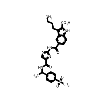 CC(NC(=O)c1csc(NC(=O)c2ccc3[nH]c(C(=O)O)c(CCCN)c3c2)n1)c1ccc(S(C)(=O)=O)cc1